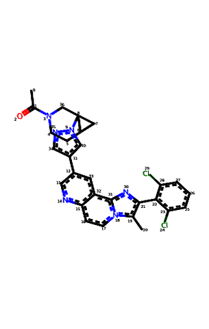 CC(=O)N1CCC2CC2(n2cc(-c3cnc4ccn5c(C)c(-c6c(Cl)cccc6Cl)nc5c4c3)cn2)C1